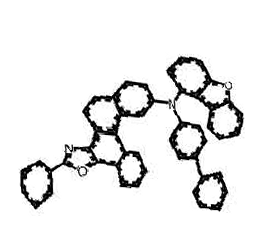 c1ccc(-c2ccc(N(c3ccc4ccc5c6nc(-c7ccccc7)oc6c6ccccc6c5c4c3)c3cccc4oc5ccccc5c34)cc2)cc1